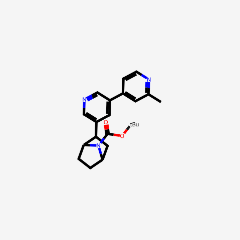 Cc1cc(-c2cncc(C3CC4CCC3N4C(=O)OC(C)(C)C)c2)ccn1